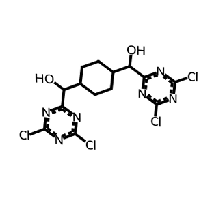 OC(c1nc(Cl)nc(Cl)n1)C1CCC(C(O)c2nc(Cl)nc(Cl)n2)CC1